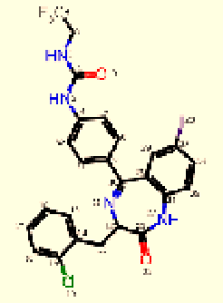 O=C(NCC(F)(F)F)Nc1ccc(C2=NC(Cc3ccccc3Cl)C(=O)Nc3ccc(I)cc32)cc1